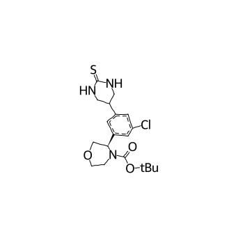 CC(C)(C)OC(=O)N1CCOC[C@H]1c1cc(Cl)cc(C2CNC(=S)NC2)c1